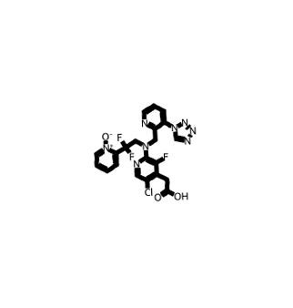 O=C(O)Cc1c(Cl)cnc(N(Cc2ncccc2-n2cnnn2)CC(F)(F)c2cccc[n+]2[O-])c1F